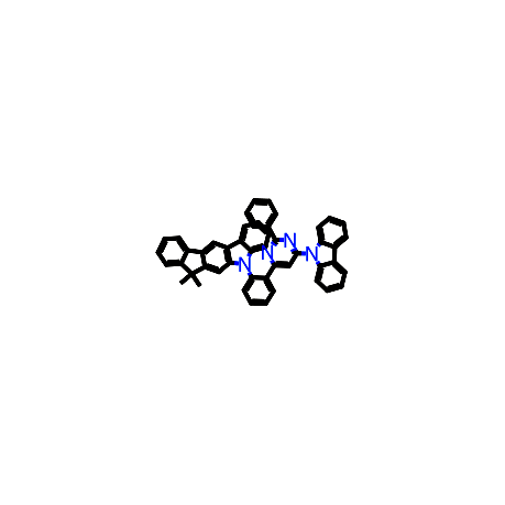 CC1(C)c2ccccc2-c2cc3c4ccccc4n(-c4ccccc4-c4cc(-n5c6ccccc6c6ccccc65)nc(-c5ccccc5)n4)c3cc21